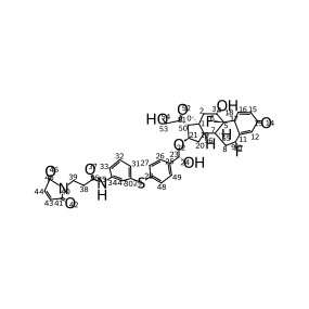 C[C@]12C[C@H](O)[C@@]3(F)[C@@H](C[C@H](F)C4=CC(=O)C=C[C@@]43C)[C@@H]1C[C@@H](O[C@H](O)c1ccc(Sc3cccc(NC(=O)CCN4C(=O)C=CC4=O)c3)cc1)[C@@H]2C(=O)CO